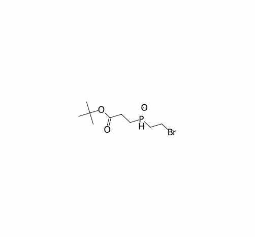 CC(C)(C)OC(=O)CC[PH](=O)CCBr